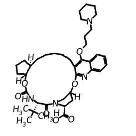 CC(C)(C)[C@@H]1NC(=O)O[C@@H]2CCC[C@H]2CCCCCc2c(nc3ccccc3c2OCCCN2CCCCC2)O[C@@H]2C[C@@H](C(=O)O)N(C2)C1=O